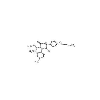 Cc1ccc(-c2c(Br)c(-c3ccc(OCCCC(F)(F)F)cc3)[nH]c(=O)c2/C(=N/N)NN)cc1